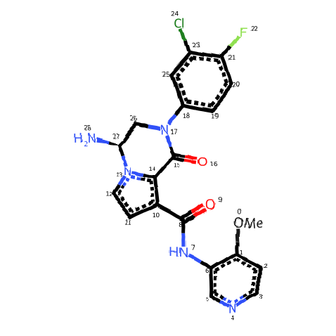 COc1ccncc1NC(=O)c1ccn2c1C(=O)N(c1ccc(F)c(Cl)c1)C[C@@H]2N